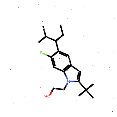 CCC(c1cc2cc(C(C)(C)C)n(CCO)c2cc1F)C(C)C